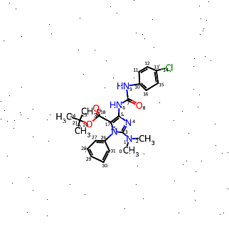 CN(C)c1nc(NC(=O)Nc2ccc(Cl)cc2)c(C(=O)OC(C)(C)C)n1-c1ccccc1